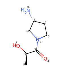 C[C@@H](O)C(=O)N1CC[C@@H](N)C1